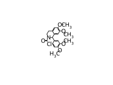 COc1ccc(C2c3cc(OC)c(OC)cc3CCN2C(=O)Cl)cc1OC